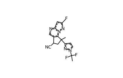 CC1(c2ccn(C(C)(F)F)n2)CC(C#N)c2cnc3cc(F)nn3c21